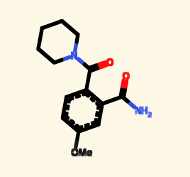 COc1ccc(C(=O)N2CCCCC2)c(C(N)=O)c1